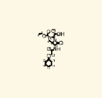 CCOC(=O)N1CC2[C@H](NC(=O)COc3ccccc3)C(=O)N2C1C(=O)O